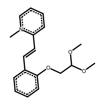 COC(COc1ccccc1C=Cc1cccc[n+]1C)OC